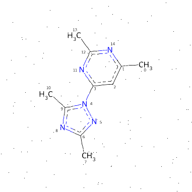 Cc1cc(-n2nc(C)nc2C)nc(C)n1